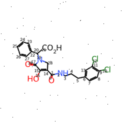 O=C(NCCCc1ccc(Cl)c(Cl)c1)C1=C(O)C(=O)N(C(C(=O)O)c2ccccc2)C1